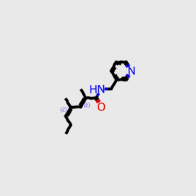 CC/C=C(C)\C=C(/C)C(=O)NCc1cccnc1